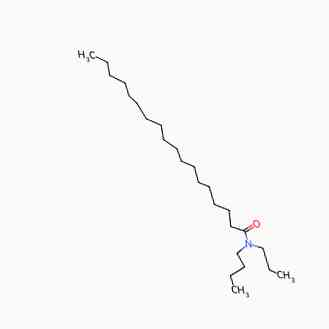 CCCCCCCCCCCCCCCCCC(=O)N(CCC)CCCC